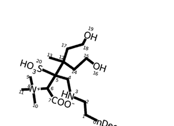 CCCCCCCCCCCCNCC(C(C(=O)[O-])[N+](C)(C)C)(C(C)(CCO)CCO)S(=O)(=O)O